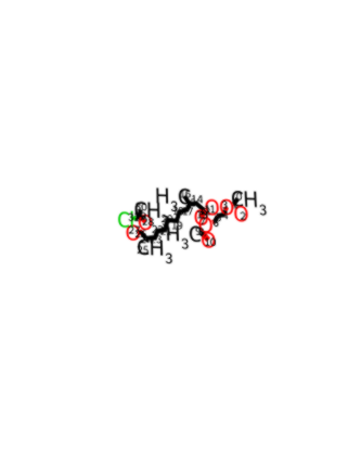 CC(=O)OCC(COC(C)=O)OC(=O)CC(C)CCCCCCCC(C)C(=O)OC(C)Cl